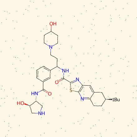 CC(C)(C)[C@H]1CCc2nc3sc(C(=O)NC(CCN4CCC(O)CC4)c4cccc(C(=O)N[C@@H]5CNC[C@H]5O)c4)nc3cc2C1